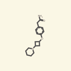 NC(=O)Cc1ccc(OC2CC(N3CCCCC3)C2)cc1